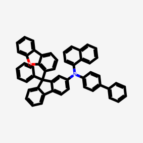 c1ccc(-c2ccc(N(c3ccc4c(c3)C(c3ccccc3)(c3cccc5c3oc3ccccc35)c3ccccc3-4)c3cccc4ccccc34)cc2)cc1